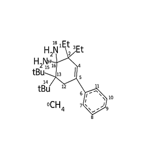 C.CCC1(CC)C=C(c2ccccc2)CC(C(C)(C)C)(C(C)(C)C)C1(N)N